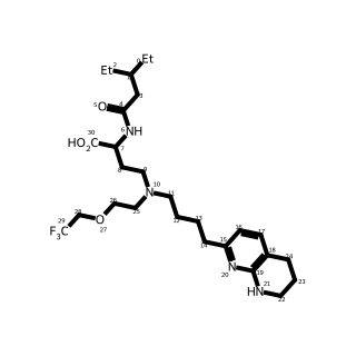 CCC(CC)CC(=O)NC(CCN(CCCCc1ccc2c(n1)NCCC2)CCOCC(F)(F)F)C(=O)O